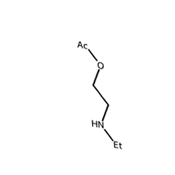 CCNCCOC(C)=O